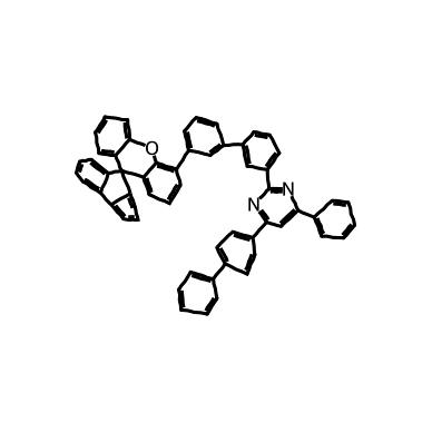 c1ccc(-c2ccc(-c3cc(-c4ccccc4)nc(-c4cccc(-c5cccc(-c6cccc7c6Oc6ccccc6C76c7ccccc7-c7ccccc76)c5)c4)n3)cc2)cc1